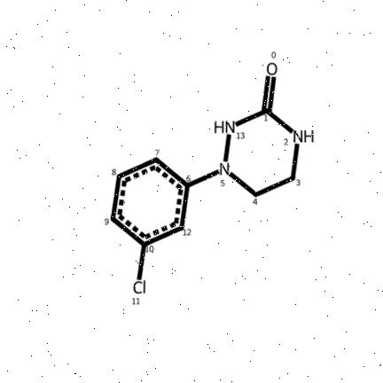 O=C1NCCN(c2cccc(Cl)c2)N1